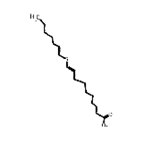 CCCCCC=CSC=CCCCCCCCC(=O)O